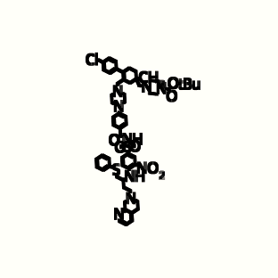 CC1(CN2CCN(C(=O)OC(C)(C)C)CC2)CCC(c2ccc(Cl)cc2)=C(CN2CCN(c3ccc(C(=O)NS(=O)(=O)c4ccc(NC(CCN5CCc6cccnc6C5)CSc5ccccc5)c([N+](=O)[O-])c4)cc3)CC2)C1